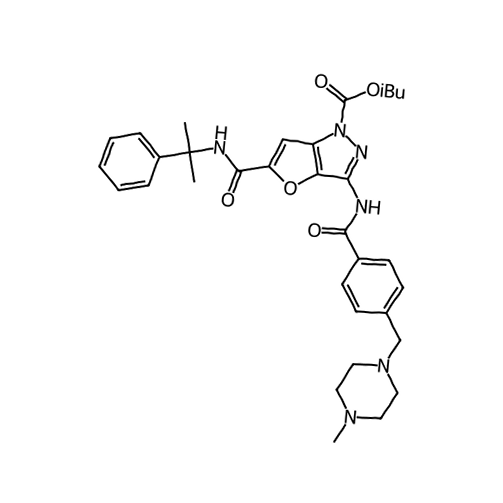 CC(C)COC(=O)n1nc(NC(=O)c2ccc(CN3CCN(C)CC3)cc2)c2oc(C(=O)NC(C)(C)c3ccccc3)cc21